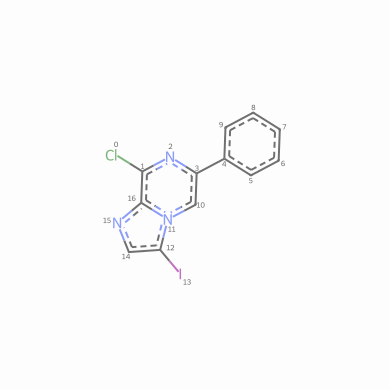 Clc1nc(-c2ccccc2)cn2c(I)cnc12